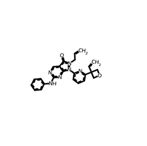 C=CCn1c(=O)c2cnc(Nc3ccccc3)nc2n1-c1cccc(C2(C=C)COC2)n1